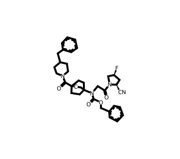 N#C[C@@H]1C[C@H](F)CN1C(=O)CN(C(=O)OCc1ccccc1)C12CCC(C(=O)N3CCC(Cc4ccccc4)CC3)(CC1)CC2